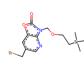 C[Si](C)(C)CCOCn1c(=O)oc2cc(CBr)cnc21